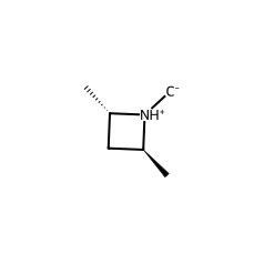 [CH2-][NH+]1[C@@H](C)C[C@@H]1C